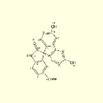 COc1ccc2c(c1)C(c1ccc(O)cc1)(c1ccc(O)cc1)C(=O)N2